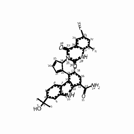 CC(C)(O)c1ccc2c(c1)[nH]c1c(C(N)=O)cc(F)c(C3=CC=CC3n3c(=O)[nH]c4c(F)cc(F)cc4c3=O)c12